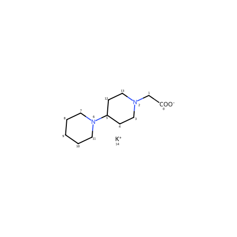 O=C([O-])CN1CCC(N2CCCCC2)CC1.[K+]